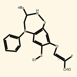 CCCCC1CN(c2ccccc2)c2cc(SCC)c(O/C=C(\F)C=O)cc2SN1